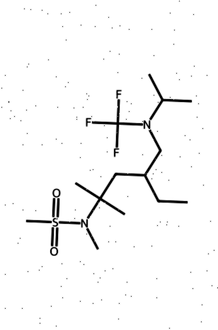 CCC(CN(C(C)C)C(F)(F)F)CC(C)(C)N(C)S(C)(=O)=O